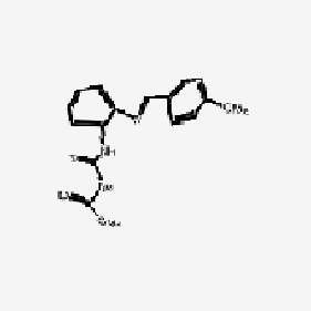 COC(=O)NC(=S)Nc1ccccc1N=Cc1ccc(OC)cc1